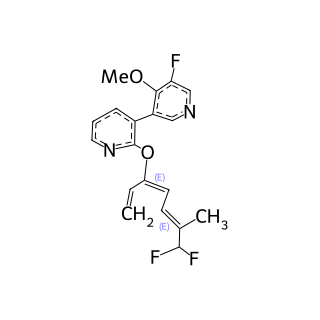 C=C/C(=C\C=C(/C)C(F)F)Oc1ncccc1-c1cncc(F)c1OC